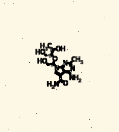 Cc1nc(N)c2c(C(N)=O)cn([C@@H](CO)O[C@H](CO)[C@H](C)O)c2n1